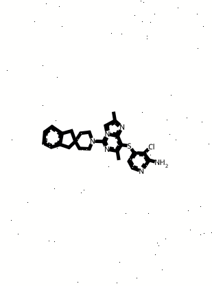 Cc1cn2c(N3CCC4(CC3)Cc3ccccc3C4)nc(C)c(Sc3ccnc(N)c3Cl)c2n1